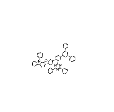 c1ccc(-c2cc(-c3ccccc3)cc(-c3ccc(-c4ccc5c(c4)oc4c5ccc5c6ccccc6n(-c6ccccc6)c54)c(-c4nc(-c5ccccc5)nc(-c5ccccc5)n4)c3)c2)cc1